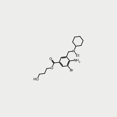 CCN(Cc1cc(C(=O)OCCCO)cc(Br)c1N)C1CCCCC1